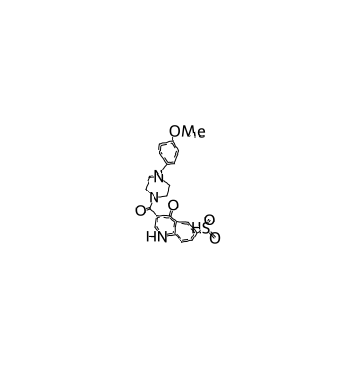 COc1ccc(N2CCN(C(=O)c3c[nH]c4ccc([SH](=O)=O)cc4c3=O)CC2)cc1